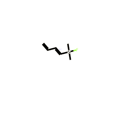 C=C/C=C/[Si](C)(C)F